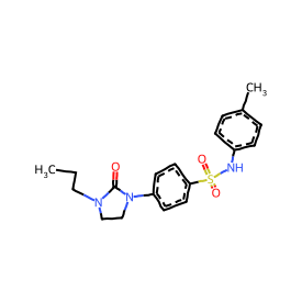 CCCN1CCN(c2ccc(S(=O)(=O)Nc3ccc(C)cc3)cc2)C1=O